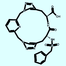 O=C(O)[C@@H]1Cc2cn(nn2)Cc2cccc(n2)Cn2cc(nn2)C[C@@H](NS(=O)(=O)Cc2ccccc2)C(=O)N1